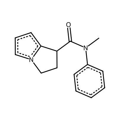 CN(C(=O)C1CCn2cccc21)c1ccccc1